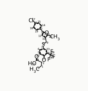 CCC(Oc1ccc(SCc2cc(-c3ccc(Cl)cc3)oc2C)cc1C(F)(F)F)C(=O)O